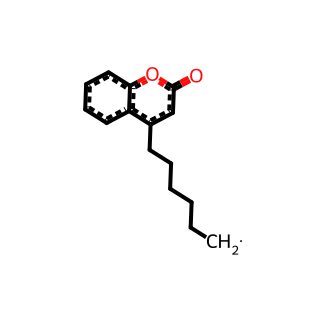 [CH2]CCCCCc1cc(=O)oc2ccccc12